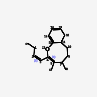 CC/C=C\C1=C(/C)C(C)CCC2CC=CC=C2O1